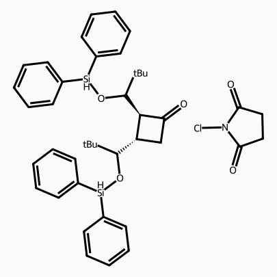 CC(C)(C)C(O[SiH](c1ccccc1)c1ccccc1)[C@H]1CC(=O)[C@@H]1C(O[SiH](c1ccccc1)c1ccccc1)C(C)(C)C.O=C1CCC(=O)N1Cl